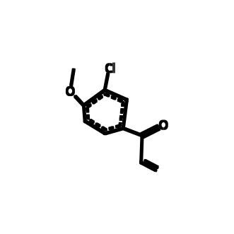 C=CC(=O)c1ccc(OC)c(Cl)c1